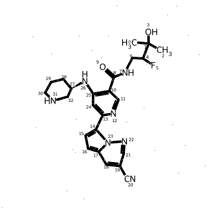 CC(C)(O)C(F)CNC(=O)c1cnc(-c2ccc3cc(C#N)cnn23)cc1N[C@@H]1CCCNC1